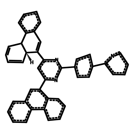 C1=CC2c3ccccc3C=C(c3cc(-c4cc5ccccc5c5ccccc45)nc(-c4ccc(-c5ccccn5)cc4)n3)[C@H]2C=C1